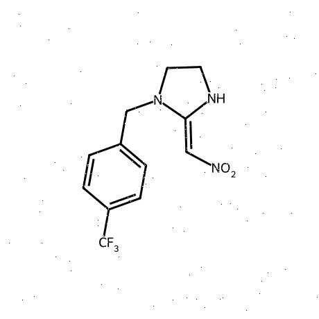 O=[N+]([O-])C=C1NCCN1Cc1ccc(C(F)(F)F)cc1